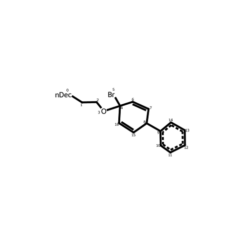 CCCCCCCCCCCCOC1(Br)C=CC(c2ccccc2)C=C1